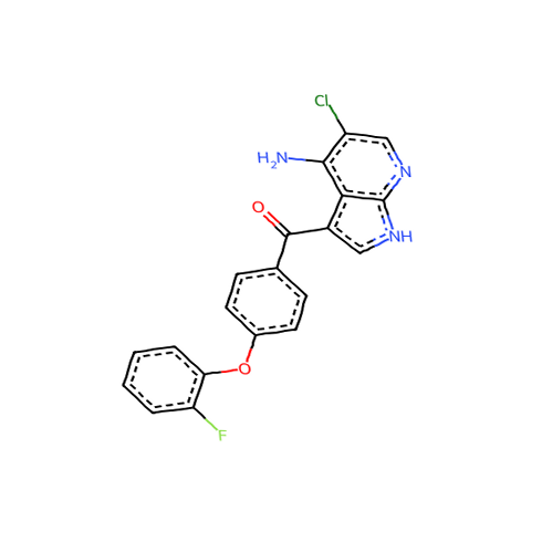 Nc1c(Cl)cnc2[nH]cc(C(=O)c3ccc(Oc4ccccc4F)cc3)c12